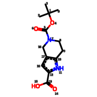 CC(C)(C)OC(=O)N1CCc2[nH]c(C(=O)O)cc2C1